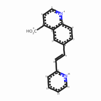 O=C(O)c1ccnc2ccc(C=Cc3ccccn3)cc12